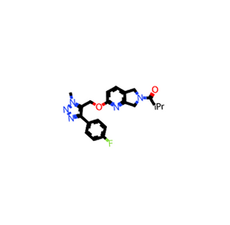 CC(C)C(=O)N1Cc2ccc(OCc3c(-c4ccc(F)cc4)nnn3C)nc2C1